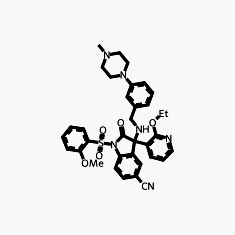 CCOc1ncccc1C1(NCc2cccc(N3CCN(C)CC3)c2)C(=O)N(S(=O)(=O)c2ccccc2OC)c2ccc(C#N)cc21